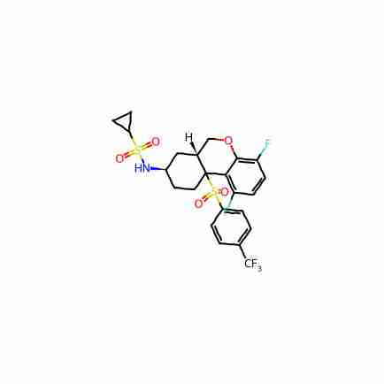 O=S(=O)(N[C@@H]1CCC2(S(=O)(=O)c3ccc(C(F)(F)F)cc3)c3c(F)ccc(F)c3OC[C@H]2C1)C1CC1